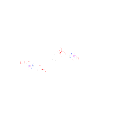 CC1(C)CC(COC(=O)C2CCC(C3CCC(C(=O)OCC4CC(C)(C)N(O)C4(C)C)CC3)CC2)C(C)(C)N1O